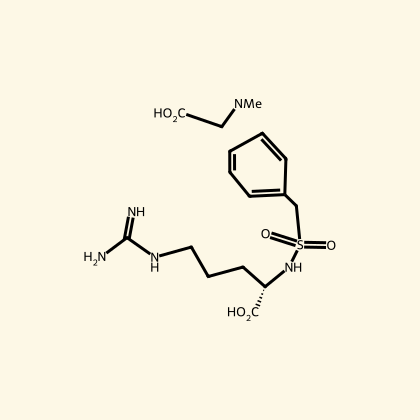 CNCC(=O)O.N=C(N)NCCC[C@H](NS(=O)(=O)Cc1ccccc1)C(=O)O